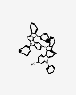 N#Cc1ccc2c3c(ccc4c5ccccc5n(-c5ccc6c(c5)c5c(ccc7c8ccccc8n(-c8ccccc8)c75)n6-c5ccccc5)c43)n(-c3ccccc3)c2c1